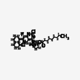 CCCCCCCCC(=O)OC12CCC(CN(c3nc(Cl)nc4c(F)c(-c5cccc6cccc(Cl)c56)ncc34)C1)N2